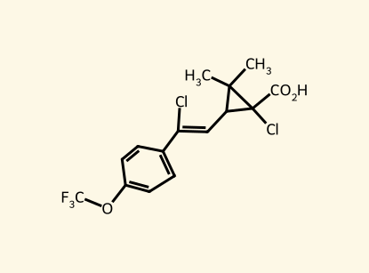 CC1(C)C(C=C(Cl)c2ccc(OC(F)(F)F)cc2)C1(Cl)C(=O)O